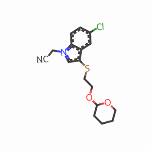 N#CCn1cc(SCCOC2CCCCO2)c2cc(Cl)ccc21